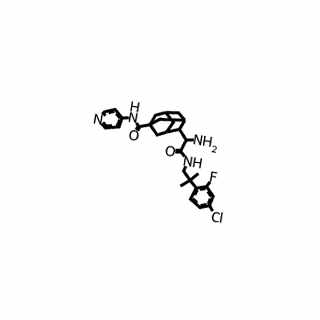 CC(C)(CNC(=O)C(N)C1C2CC3CC1CC(C(=O)Nc1ccncc1)(C3)C2)c1ccc(Cl)cc1F